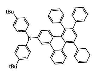 CC(C)(C)c1ccc(N(c2ccc(C(C)(C)C)cc2)c2ccc3c(c2)c2ccccc2c2c(C4=CC=CCC4)cc(-c4ccccc4)c(-c4ccccc4)c32)cc1